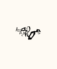 CC(=O)Oc1cccc(C(=O)N(N)c2cccc(-c3cccs3)c2)c1